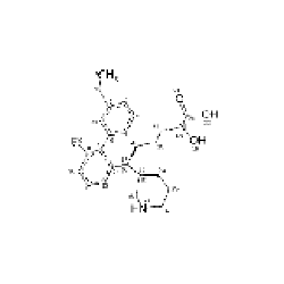 CCc1cccc(-c2c(F)cccc2[C@@H](CCCN(O)C(=O)O)[C@H]2CCCNC2)c1